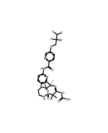 CC1(C)C(NC(=O)O)=N[C@](C)(c2nc(NC(=O)c3ccc(OCC(F)(F)C(F)F)cn3)ccc2F)[C@H]2CCCN[SH]21=O